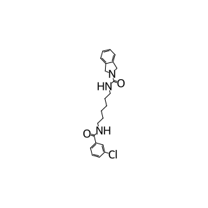 O=C(NCCCCCCNC(=O)N1Cc2ccccc2C1)c1cccc(Cl)c1